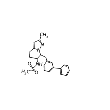 Cc1cc2n(n1)C(Cc1cccc(-c3ccccc3)c1)C(NS(C)(=O)=O)CC2